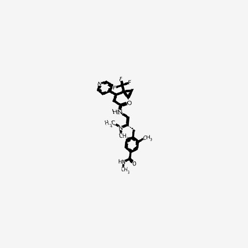 CNC(=O)c1ccc(C[C@@H](CNC(=O)CC(c2ccncc2)C2(C(F)(F)F)CC2)N(C)C)c(C)c1